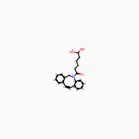 O=C(CCCCC(O)O)N1Cc2ccccc2C#Cc2ccccc21